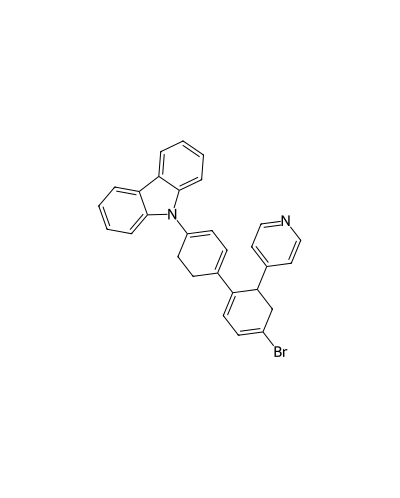 BrC1=CC=C(C2=CC=C(n3c4ccccc4c4ccccc43)CC2)C(c2ccncc2)C1